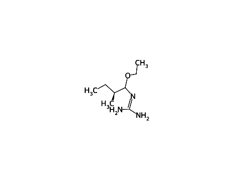 CCOC(N=C(N)N)[C@@H](C)CC